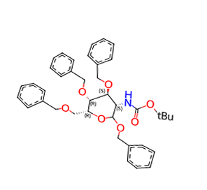 CC(C)(C)OC(=O)N[C@@H]1C(OCc2ccccc2)O[C@H](COCc2ccccc2)[C@H](OCc2ccccc2)[C@H]1OCc1ccccc1